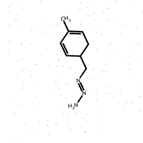 CC1=CCC(CN=NN)C=C1